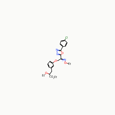 CCO/N=C(\COc1cccc(CC(OCC)C(=O)OCC)c1)c1nnc(-c2ccc(Cl)cc2)o1